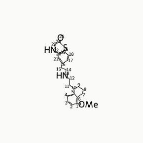 COc1cccc2c1CCCC2CCNCCc1ccc2c(c1)NCC(=O)S2